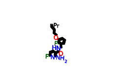 CCCC=CCCOc1cccc(CNC(=O)c2ccc(F)nc2N)c1F